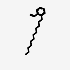 C=Cc1ccccc1CCCCCCCCCCCC